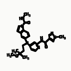 CNC(=O)n1ccc2cc(N(CCC(C)(C)OC)c3ccnc(NC(=O)c4cnn(C)c4)c3)ccc21